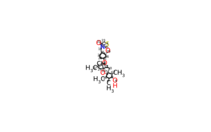 Cc1c(C)c2c(c(C)c1O)CCC(COc1ccc(CN3C(=O)CSC3=O)cc1)(CC(C)C)O2